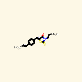 O=C(O)/C=C/c1ccc(/C=C2\SC(=S)N(CCC(=O)O)C2=O)cc1